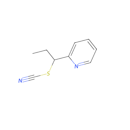 CCC(SC#N)c1ccccn1